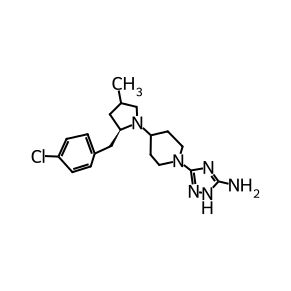 CC1C[C@H](Cc2ccc(Cl)cc2)N(C2CCN(c3n[nH]c(N)n3)CC2)C1